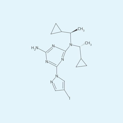 C[C@H](C1CC1)N(c1nc(N)nc(-n2cc(I)cn2)n1)[C@H](C)C1CC1